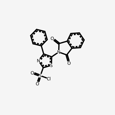 O=C1c2ccccc2C(=O)N1c1sc(S(=O)(=O)Cl)nc1-c1ccccc1